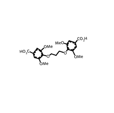 COc1cc(C(=O)O)cc(OC)c1OCCCOc1c(OC)cc(C(=O)O)cc1OC